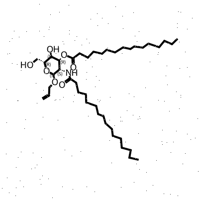 C=CCO[C@H]1O[C@H](CO)[C@@H](O)[C@H](OC(=O)CCCCCCCCCCCCCCC)[C@@H]1NC(=O)CCCCCCCCCCCCCCC